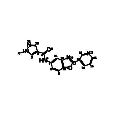 Cn1cc(C(=O)Nc2ccc3oc(-c4cccnc4)nc3c2)cn1